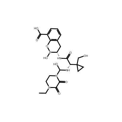 CCN1CCN(C(O)N[C@H](C(=O)N[C@H]2Cc3cccc(C(=O)O)c3OB2O)C2(CO)CC2)C(=O)C1=O